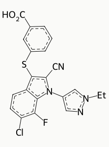 CCn1cc(-n2c(C#N)c(Sc3cccc(C(=O)O)c3)c3ccc(Cl)c(F)c32)cn1